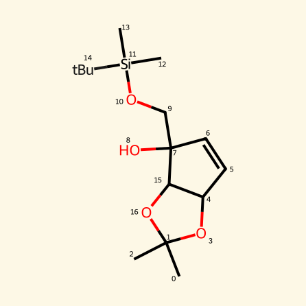 CC1(C)OC2C=CC(O)(CO[Si](C)(C)C(C)(C)C)C2O1